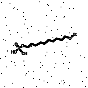 CCOCCCCCCCCCCOP(=O)(O)O